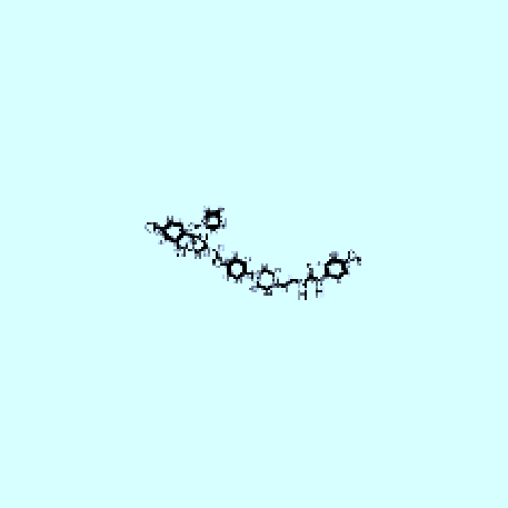 COc1ccc(NC(=S)NCCN2CCN(c3ccc(OC[C@@H]4CO[C@@](Cn5ccnc5)(c5ccc(Cl)cc5Cl)O4)cc3)CC2)cc1